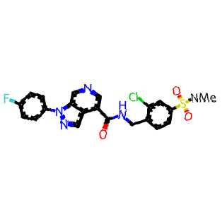 CNS(=O)(=O)c1ccc(CNC(=O)c2cncc3c2cnn3-c2ccc(F)cc2)c(Cl)c1